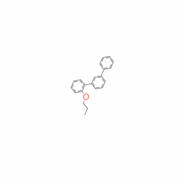 CCCOc1ccccc1-c1cccc(-c2ccccc2)c1